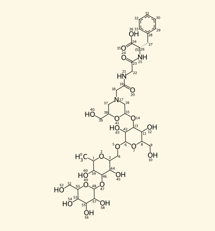 CC1OC(COC2OC(CO)C(O)C(OC3CN(CC(=O)NCC(=O)N[C@@H](Cc4ccccc4)C(=O)O)CC(CO)O3)C2O)C(O)C(OC2OC(CO)C(O)C(O)C2O)C1O